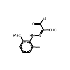 CCC(=O)/C(C=O)=N\Nc1c(C)cccc1OC